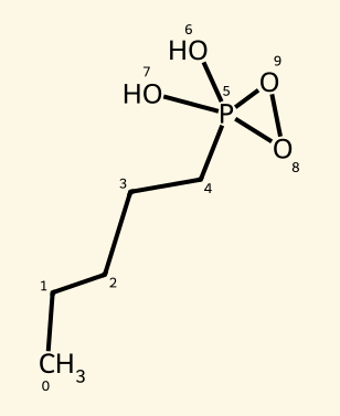 CCCCCP1(O)(O)OO1